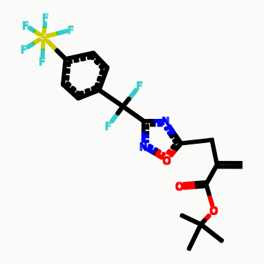 C=C(Cc1nc(C(F)(F)c2ccc(S(F)(F)(F)(F)F)cc2)no1)C(=O)OC(C)(C)C